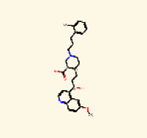 COc1ccc2nccc([C@H](O)CC[C@@H]3CCN(CCCc4ccccc4C)C[C@@H]3C(=O)O)c2c1